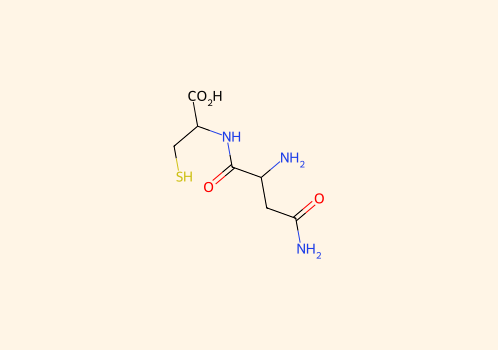 NC(=O)CC(N)C(=O)NC(CS)C(=O)O